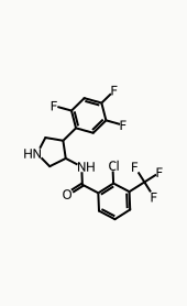 O=C(NC1CNCC1c1cc(F)c(F)cc1F)c1cccc(C(F)(F)F)c1Cl